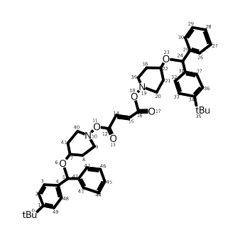 CC(C)(C)c1ccc(C(OC2CCN(OC(=O)/C=C/C(=O)ON3CCC(OC(c4ccccc4)c4ccc(C(C)(C)C)cc4)CC3)CC2)c2ccccc2)cc1